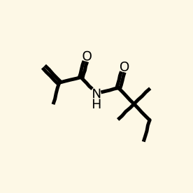 C=C(C)C(=O)NC(=O)C(C)(C)CC